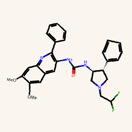 COc1cc2cc(NC(=O)N[C@@H]3CN(CC(F)F)C[C@H]3c3ccccc3)c(-c3ccccc3)nc2cc1OC